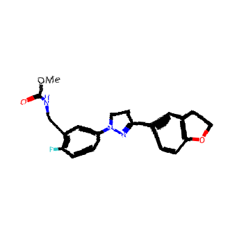 COC(=O)NCc1cc(N2CCC(c3ccc4c(c3)CCO4)=N2)ccc1F